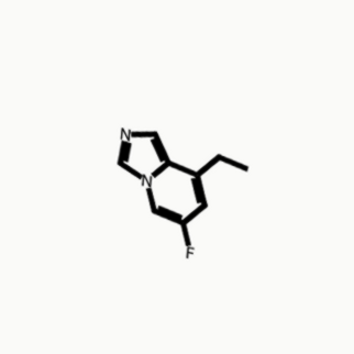 CCc1cc(F)cn2cncc12